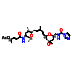 CC(=O)O[C@@H](C)C=CC(=O)N[C@@H]1C[C@H](C)[C@H](CC=C(C)C=C[C@@H]2C[C@@]3(CO3)C[C@@H](CNC(=O)n3ccnc3)O2)O[C@@H]1C